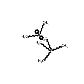 CCCCCCCC[B-](CCCCCCCC)(c1ccccc1)c1ccccc1.CCCCCCCC[P+](CCCCCCCC)(CCCCCCCC)CCCCCCCC